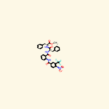 COC(=O)[C@H](Cc1ccccc1)NC(=O)[C@H](Cc1ccccc1)NC(=O)c1ccccc1NC(=O)c1ccc([N+](=O)[O-])c(C(F)(F)F)c1